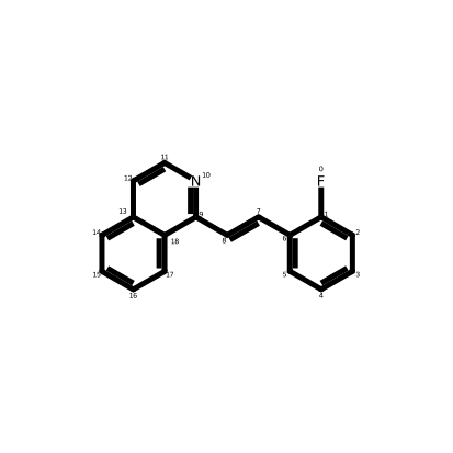 Fc1ccccc1C=Cc1nccc2ccccc12